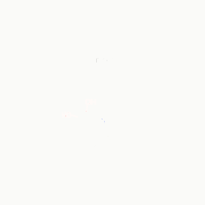 CCOC(=O)c1cccc(N2SCCC2(O)O)c1